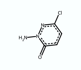 Nn1nc(Cl)ccc1=O